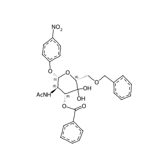 CC(=O)N[C@H]1[C@H](Oc2ccc([N+](=O)[O-])cc2)O[C@H](COCc2ccccc2)C(O)(O)[C@@H]1OC(=O)c1ccccc1